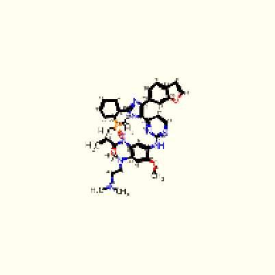 C=CC(=O)Nc1cc(Nc2nccc(-c3[nH]c(-c4ccccc4P(C)(C)=O)nc3-c3ccc4ccoc4c3)n2)c(OC)cc1N(C)CCN(C)C